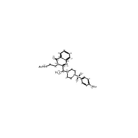 COc1ccc(S(=O)(=O)N2CCN(C(C)c3nc4ccccc4c(=O)n3CCNC(C)=O)CC2)cc1